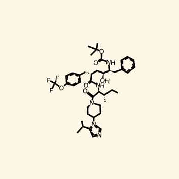 CC[C@H](C)[C@H](NC(=O)[C@H](Cc1ccc(OC(F)(F)F)cc1)C[C@H](O)[C@H](Cc1ccccc1)NC(=O)OC(C)(C)C)C(=O)N1CCC(n2cncc2C(C)C)CC1